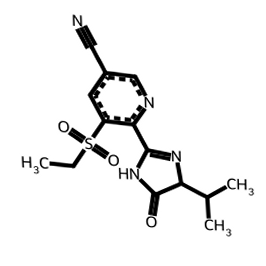 CCS(=O)(=O)c1cc(C#N)cnc1C1=NC(C(C)C)C(=O)N1